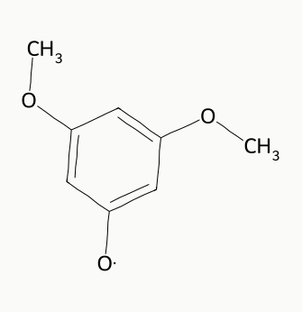 COc1cc([O])cc(OC)c1